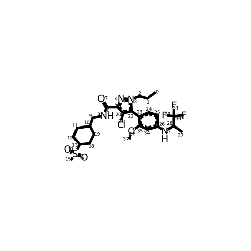 CCCn1nc(C(=O)NCC2CCC(S(C)(=O)=O)CC2)c(Cl)c1-c1ccc(NC(C)C(F)(F)F)cc1OC